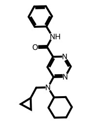 O=C(Nc1ccccc1)c1cc(N(CC2CC2)C2CCCCC2)ncn1